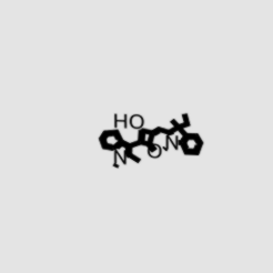 CCC1(C)C(/C=C2\C(=O)C(c3c(C)n(C)c4ccccc34)=C2O)=[N+](C)c2ccccc21